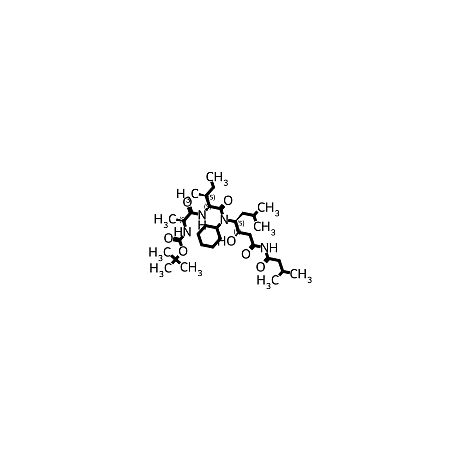 CC[C@H](C)[C@H](NC(=O)[C@H](C)NC(=O)OC(C)(C)C)C(=O)N(C1CCCCC1)[C@@H](CC(C)C)[C@@H](O)CC(=O)NC(=O)CC(C)C